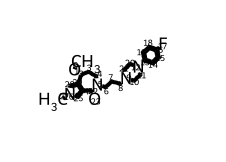 COC1CCN(CCCN2CCN(c3ccc(F)cc3)CC2)C(=O)c2cn(C)cc21